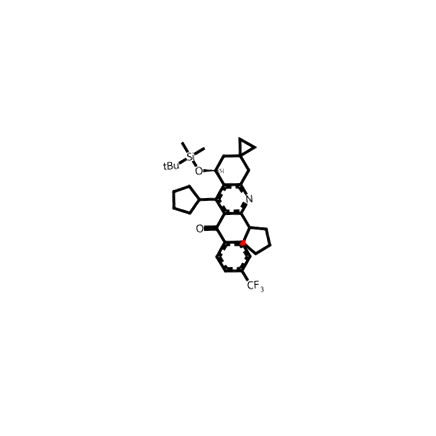 CC(C)(C)[Si](C)(C)O[C@H]1CC2(CC2)Cc2nc(C3CCCC3)c(C(=O)c3ccc(C(F)(F)F)cc3)c(C3CCCC3)c21